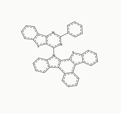 c1ccc(-c2nc(-n3c4ccccc4c4c5ccccc5c5c6ccccc6sc5c43)c3sc4ccccc4c3n2)cc1